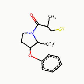 CC(CS)C(=O)N1CCC(Oc2ccccc2)C1C(=O)O